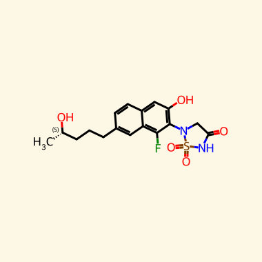 C[C@H](O)CCCc1ccc2cc(O)c(N3CC(=O)NS3(=O)=O)c(F)c2c1